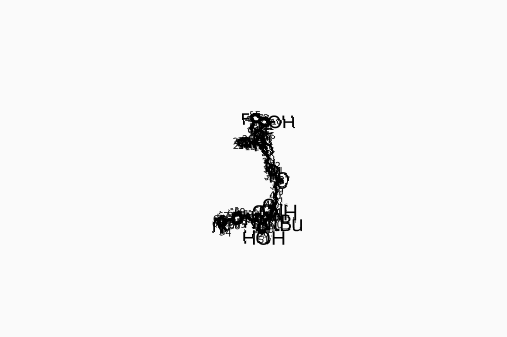 C#Cc1c(F)ccc2cc(O)cc(-c3ncc4c(N5CC6CCC(C5)N6)nc(OCCCN5CCN(C(=O)CCCCC(=O)N[C@H](C(=O)N6C[C@H](O)C[C@H]6C(=O)NCc6ccc(C7=C(C)N=CC7)cc6)C(C)(C)C)CC5)nc4c3F)c12